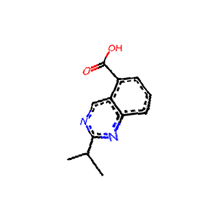 CC(C)c1ncc2c(C(=O)O)cccc2n1